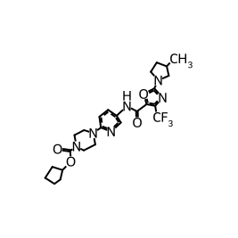 CC1CCN(c2nc(C(F)(F)F)c(C(=O)Nc3ccc(N4CCN(C(=O)OC5CCCC5)CC4)nc3)o2)C1